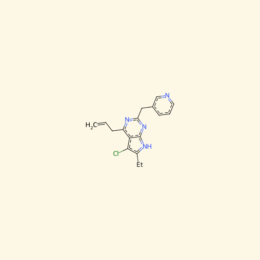 C=CCc1nc(Cc2cccnc2)nc2[nH]c(CC)c(Cl)c12